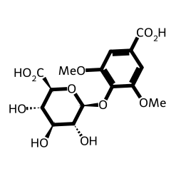 COc1cc(C(=O)O)cc(OC)c1O[C@@H]1O[C@H](C(=O)O)[C@@H](O)[C@H](O)[C@H]1O